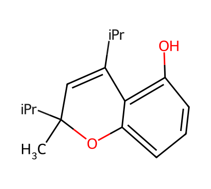 CC(C)C1=CC(C)(C(C)C)Oc2cccc(O)c21